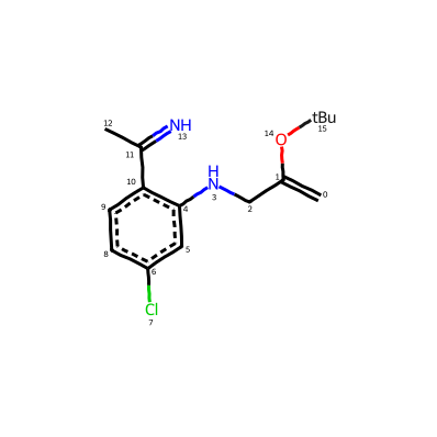 C=C(CNc1cc(Cl)ccc1C(C)=N)OC(C)(C)C